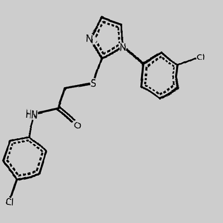 O=C(CSc1nccn1-c1cccc(Cl)c1)Nc1ccc(Cl)cc1